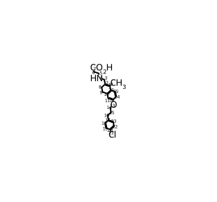 CC1=C(CNCCC(=O)O)CCc2cc(OCCCc3ccc(Cl)cc3)ccc21